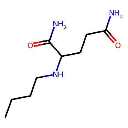 CCCCNC(CCC(N)=O)C(N)=O